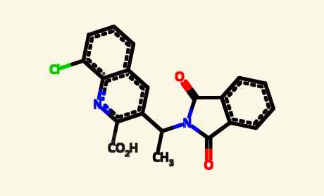 CC(c1cc2cccc(Cl)c2nc1C(=O)O)N1C(=O)c2ccccc2C1=O